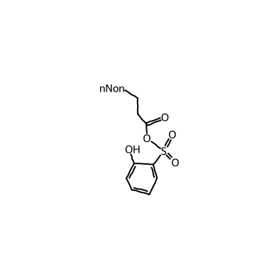 CCCCCCCCCCCC(=O)OS(=O)(=O)c1ccccc1O